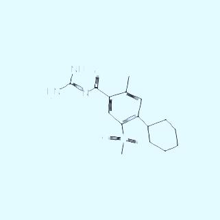 Cc1cc(C2CCCCC2)c(S(C)(=O)=O)cc1C(=O)N=C(N)N